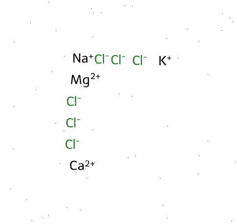 [Ca+2].[Cl-].[Cl-].[Cl-].[Cl-].[Cl-].[Cl-].[K+].[Mg+2].[Na+]